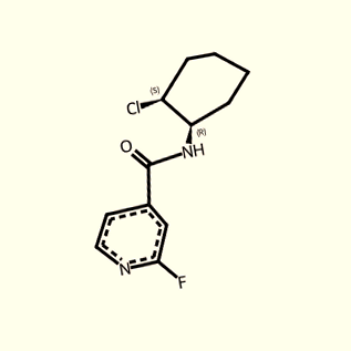 O=C(N[C@@H]1CCCC[C@@H]1Cl)c1ccnc(F)c1